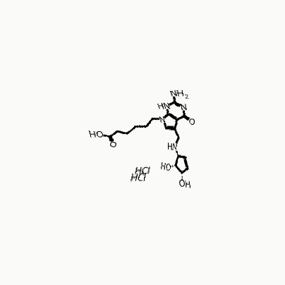 Cl.Cl.Nc1nc(=O)c2c(CN[C@H]3C=C[C@H](O)[C@@H]3O)cn(CCCCCC(=O)O)c2[nH]1